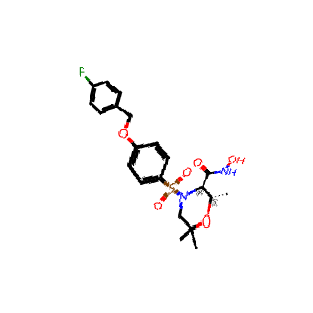 C[C@@H]1OC(C)(C)CN(S(=O)(=O)c2ccc(OCc3ccc(F)cc3)cc2)[C@H]1C(=O)NO